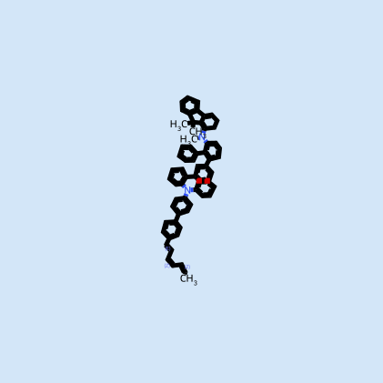 C\C=C/C=C\C=C\c1ccc(-c2ccc(N(c3ccccc3)c3ccccc3-c3cccc(-c4cccc(N(C)C5=C6C(=CCC5)c5ccccc5C6(C)C)c4-c4ccccc4)c3)cc2)cc1